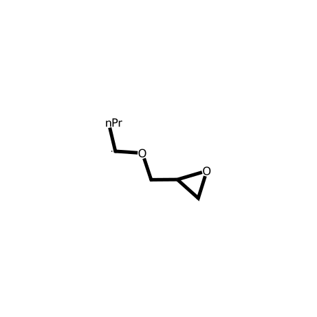 CCC[CH]OCC1CO1